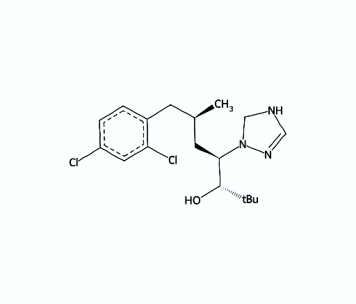 C[C@H](Cc1ccc(Cl)cc1Cl)C[C@H]([C@@H](O)C(C)(C)C)N1CNC=N1